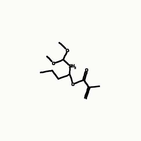 C=C(C)C(=O)OC(CCC)[SiH2]C(OC)OC